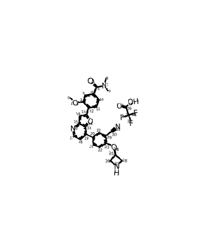 COc1cc(C(=O)N(C)C)ccc1-c1cc2nccc(-c3ccc(OC4CNC4)c(C#N)c3)c2o1.O=C(O)C(F)(F)F